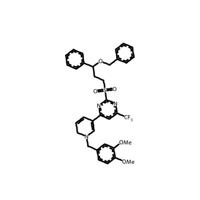 COc1ccc(CN2C=C(c3cc(C(F)(F)F)nc(S(=O)(=O)CCC(OCc4ccccc4)c4ccccc4)n3)C=CC2)cc1OC